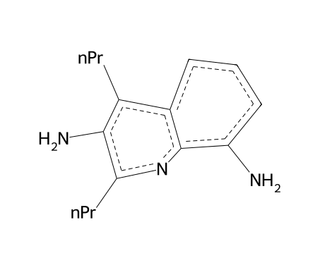 CCCc1nc2c(N)cccc2c(CCC)c1N